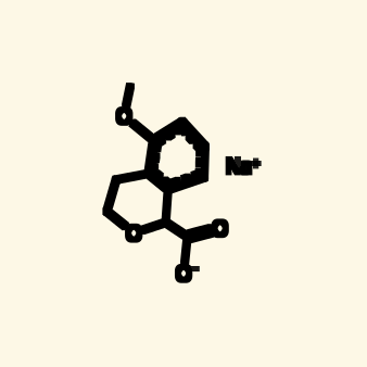 COc1cccc2c1CCOC2C(=O)[O-].[Na+]